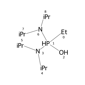 CC[PH](O)(N(C(C)C)C(C)C)N(C(C)C)C(C)C